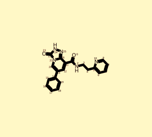 O=C(NCCc1ccccn1)c1cc(-c2ccccc2)cn2c(=O)[nH]nc12